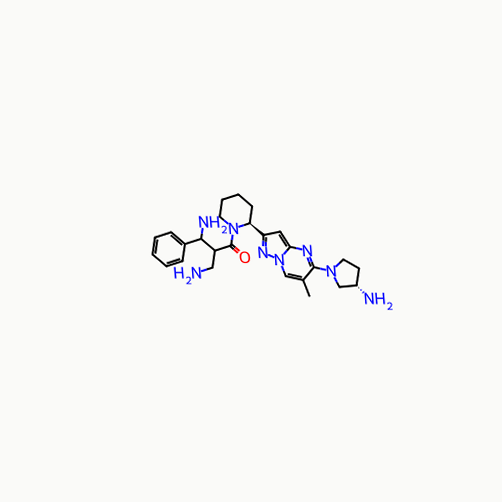 Cc1cn2nc([C@@H]3CCCCN3C(=O)C(CN)C(N)c3ccccc3)cc2nc1N1CC[C@H](N)C1